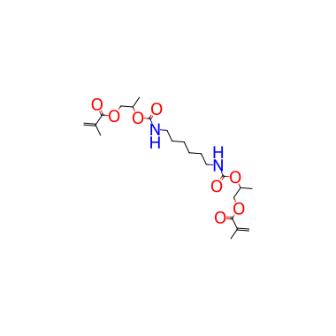 C=C(C)C(=O)OCC(C)OC(=O)NCCCCCCNC(=O)OC(C)COC(=O)C(=C)C